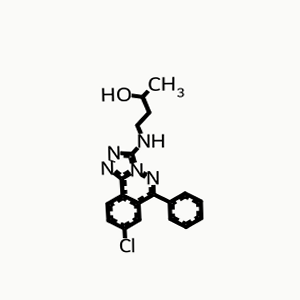 CC(O)CCNc1nnc2c3ccc(Cl)cc3c(-c3ccccc3)nn12